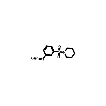 O=C=Nc1cccc(S(=O)(=O)N2CCCCC2)c1